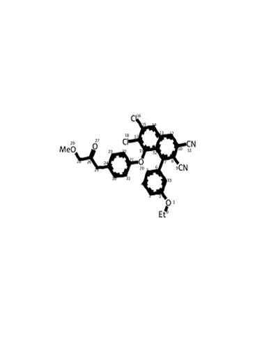 CCOc1cccc(-c2c(C#N)c(C#N)cc3cc(Cl)c(Cl)c(Oc4ccc(CC(=O)COC)cc4)c23)c1